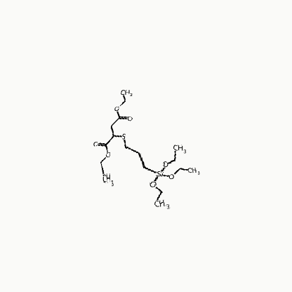 CCOC(=O)CC(SCCC[Si](OCC)(OCC)OCC)C(=O)OCC